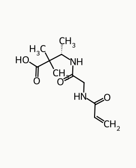 C=CC(=O)NCC(=O)N[C@@H](C)C(C)(C)C(=O)O